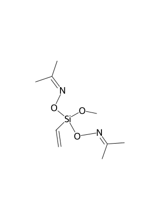 C=C[Si](OC)(ON=C(C)C)ON=C(C)C